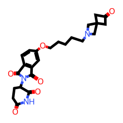 O=C1CC2(C1)CN(CCCCCOc1ccc3c(c1)C(=O)N(C1CCC(=O)NC1=O)C3=O)C2